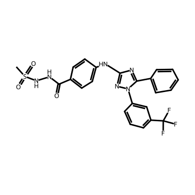 CS(=O)(=O)NNC(=O)c1ccc(Nc2nc(-c3ccccc3)n(-c3cccc(C(F)(F)F)c3)n2)cc1